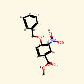 COC(=O)c1ccc(OCc2ccccc2)c([N+](=O)[O-])c1